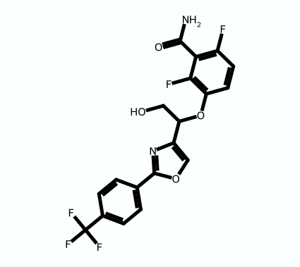 NC(=O)c1c(F)ccc(OC(CO)c2coc(-c3ccc(C(F)(F)F)cc3)n2)c1F